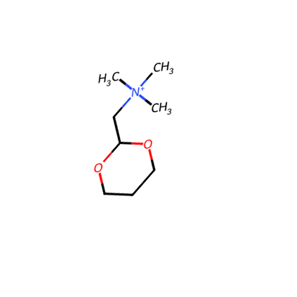 C[N+](C)(C)CC1OCCCO1